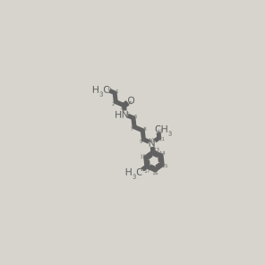 CCCC(=O)NCCCCN(CC)c1cccc(C)c1